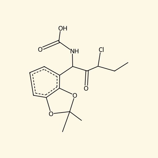 CCC(Cl)C(=O)C(NC(=O)O)c1cccc2c1OC(C)(C)O2